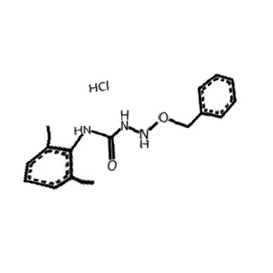 Cc1cccc(C)c1NC(=O)NNOCc1ccccc1.Cl